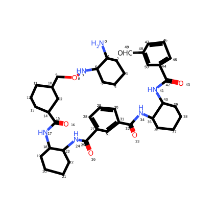 NC1CCCCC1NOCC1CCCC(C(=O)NC2CCCCC2NC(=O)c2cccc(C(=O)NC3CCCCC3NC(=O)c3cccc(C=O)c3)c2)C1